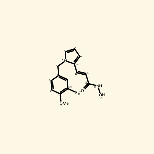 COc1ccc(Cn2cccc2C=CC(=O)NO)cc1F